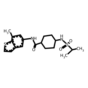 Cc1cc(NC(=O)C2CCC(NS(=O)(=O)C(C)C)CC2)cc2ccsc12